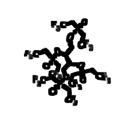 O=P(CC(F)(F)F)(CC(F)(F)F)OCC(OP(=O)(CC(F)(F)F)CC(F)(F)F)C(COP(=O)(CC(F)(F)F)CC(F)(F)F)OP(=O)(CC(F)(F)F)CC(F)(F)F